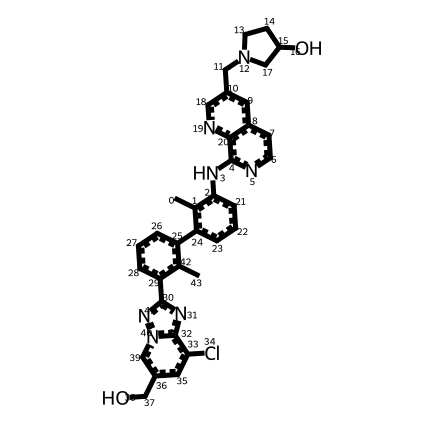 Cc1c(Nc2nccc3cc(CN4CCC(O)C4)cnc23)cccc1-c1cccc(-c2nc3c(Cl)cc(CO)cn3n2)c1C